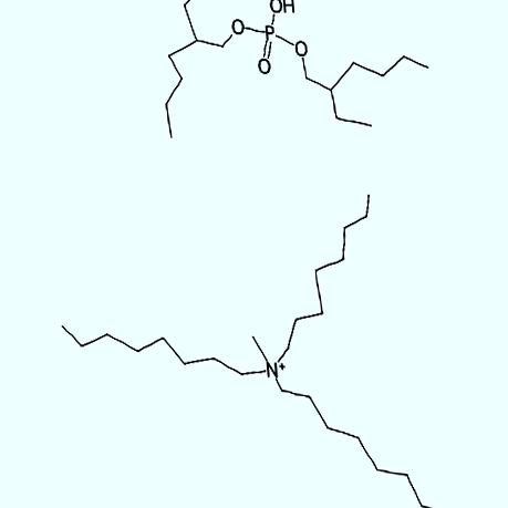 CCCCC(CC)COP(=O)(O)OCC(CC)CCCC.CCCCCCCC[N+](C)(CCCCCCCC)CCCCCCCC